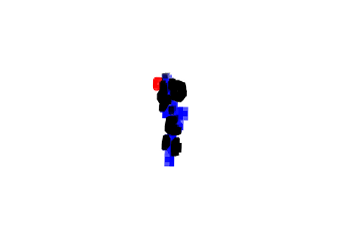 CN1CC2(CCCCC2)n2c(cc3cnc(Nc4ccc(N5CCNC(C)(C)C5)cn4)nc32)C1=O